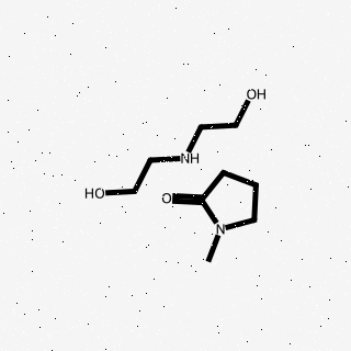 CN1CCCC1=O.OCCNCCO